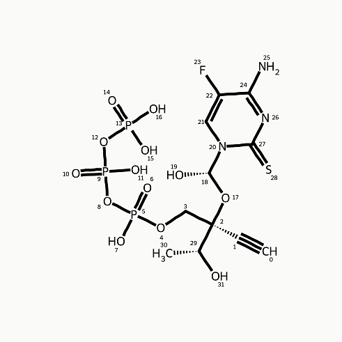 C#C[C@](COP(=O)(O)OP(=O)(O)OP(=O)(O)O)(O[C@H](O)n1cc(F)c(N)nc1=S)[C@@H](C)O